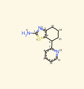 Nc1nc2c(s1)C(c1ccccn1)CCC2